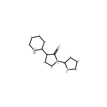 O=C1C(C2CCCCN2)CCN1C1CCCO1